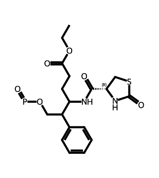 CCOC(=O)CCC(NC(=O)[C@@H]1CSC(=O)N1)C(COP=O)c1ccccc1